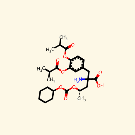 CC(C)C(=O)Oc1ccc(CC(N)(C[C@H](C)OC(=O)OC2CCCCC2)C(=O)O)cc1OC(=O)C(C)C